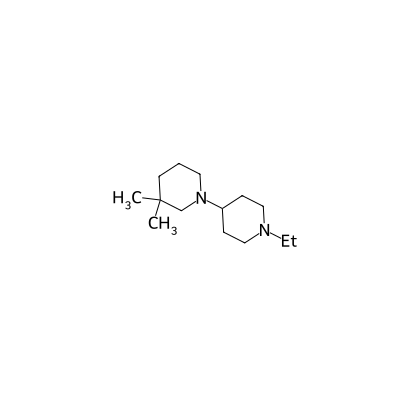 CCN1CCC(N2CCCC(C)(C)C2)CC1